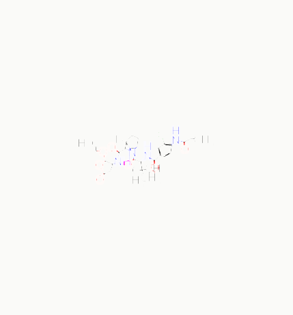 CCO[C@@H]1OC(=O)CC1NC(=O)C1[C@H]2CCC(C2)N1C(=O)[C@@H](NC(=O)c1ccc(NC(=O)CC)c(Cl)c1)C(C)(C)C